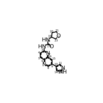 O=C(Nc1ccc2ncc(-c3cn[nH]c3)cc2n1)NC1CCOC1